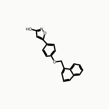 Oc1cc(-c2ccc(OCc3cccc4ccccc34)cc2)on1